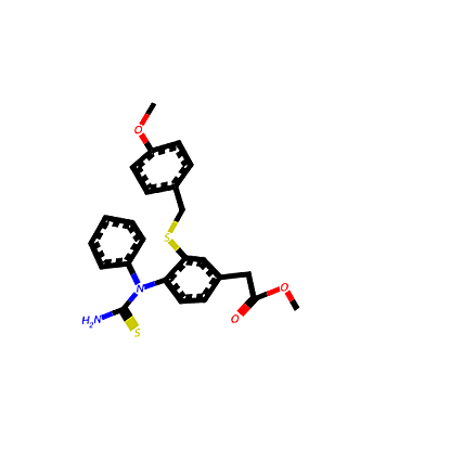 COC(=O)Cc1ccc(N(C(N)=S)c2ccccc2)c(SCc2ccc(OC)cc2)c1